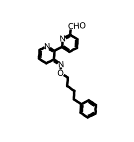 O=Cc1cccc(C2=NC=CCC2=NOCCCCc2ccccc2)n1